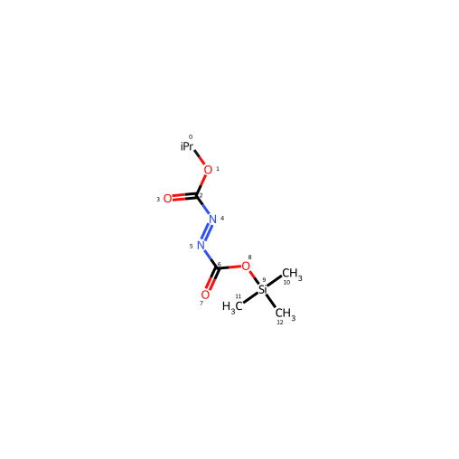 CC(C)OC(=O)N=NC(=O)O[Si](C)(C)C